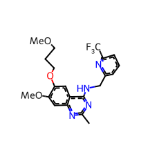 COCCCOc1cc2c(NCc3cccc(C(F)(F)F)n3)nc(C)nc2cc1OC